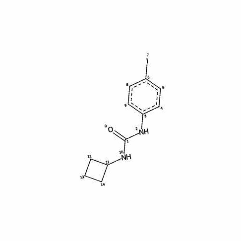 O=C(Nc1ccc(I)cc1)NC1CCC1